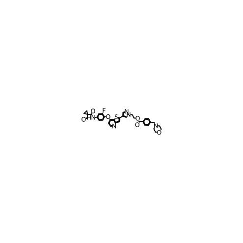 O=CC1(C(=O)Nc2ccc(Oc3ccnc4cc(-c5cnn(CCOC(=O)c6ccc(CN7CCOCC7)cc6)c5)sc34)c(F)c2)CC1